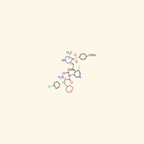 COC(=O)N(C(=O)[C@@H](N)[C@@H](c1ccc(Cl)cc1)C1CCOCC1)c1cncc(F)c1CC[C@H]1CNC[C@H](C)N1S(=O)(=O)c1ccc(OC)cc1